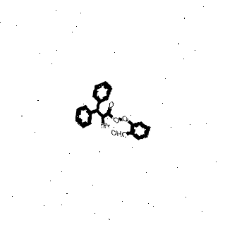 CCCC(C(=O)OOc1ccccc1C=O)C(c1ccccc1)c1ccccc1